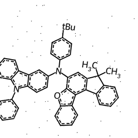 CC(C)(C)c1ccc(N(c2ccc3c(c2)c2ccccc2n3-c2ccccc2)c2cc3c(c4c2oc2ccccc24)-c2ccccc2C3(C)C)cc1